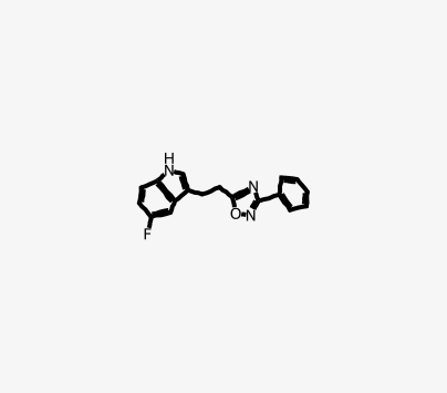 Fc1ccc2[nH]cc(CCc3nc(-c4ccccc4)no3)c2c1